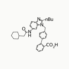 CCCCc1nc2ccc(NC(=O)CC3CCCCC3)cc2n1Cc1ccc(-c2ccccc2C(=O)O)cc1